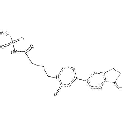 CS(=O)(=O)NC(=O)CCCn1ccc(-c2ccc3c(c2)CCC3=O)cc1=O